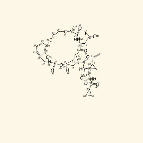 C=C[C@@H]1C[C@]1(NC(=O)[C@@H]1C[C@@H]2CN1C(=O)[C@H](CC(F)F)NC(=O)N(C)CCCCc1cccc3c1CN(C3)C(=O)O2)C(=O)NS(=O)(=O)C1CC1